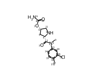 CN(C(=O)[C@@H]1C[C@H](OC(N)=O)CN1)c1ccc(F)c(Cl)c1